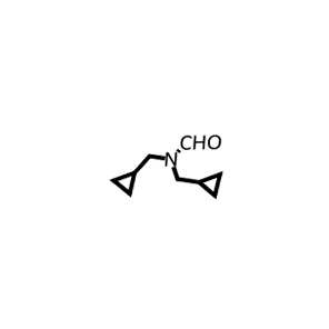 O=CN(CC1CC1)CC1CC1